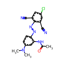 CC(=O)Nc1cc(N(C)C)ccc1N=Nc1c(C#N)cc(Cl)cc1C#N